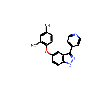 N#Cc1ccc(Oc2ccc3[nH]nc(-c4ccncc4)c3c2)c(C#N)c1